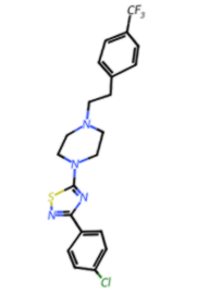 FC(F)(F)c1ccc(CCN2CCN(c3nc(-c4ccc(Cl)cc4)ns3)CC2)cc1